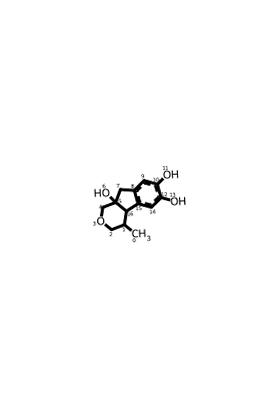 CC1COCC2(O)Cc3cc(O)c(O)cc3C12